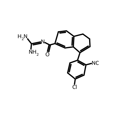 [C-]#[N+]c1cc(Cl)ccc1C1=CCCc2ccc(C(=O)N=C(N)N)cc21